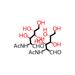 CC(=O)N[C@H](C=O)[C@@H](O)[C@H](O)[C@H](O)CO.CC(=O)N[C@H](C=O)[C@@H](O)[C@H](O)[C@H](O)CO